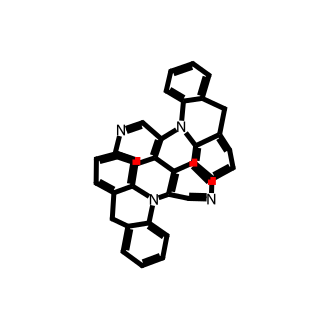 c1ccc2c(c1)Cc1ccccc1N2c1cnccc1-c1ccncc1N1c2ccccc2Cc2ccccc21